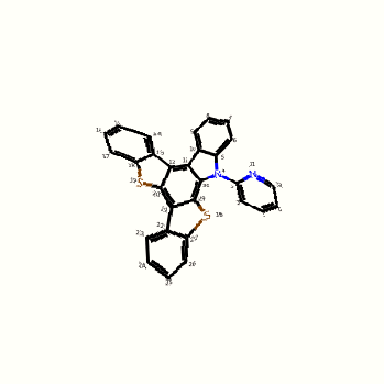 c1ccc(-n2c3ccccc3c3c4c5ccccc5sc4c4c5ccccc5sc4c32)nc1